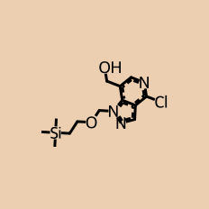 C[Si](C)(C)CCOCn1ncc2c(Cl)ncc(CO)c21